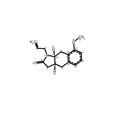 C=CCN1C(=O)C[C@H]2Cc3cccc(OC)c3C[C@H]21